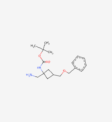 CC(C)(C)OC(=O)NC1(CN)CC(COCc2ccccc2)C1